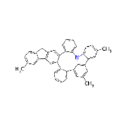 Cc1ccc2c(c1)-c1cc3c4ccccc4c4cc(C)cc5c6cc(C)ccc6n(c6ccccc6c3cc1C2)c45